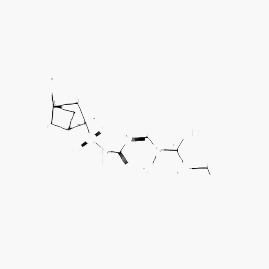 C=C(/N=C\N(C)C(C)OCO)NS(=O)(=O)[C@@H]1CC2(C(=O)O)CC1C2